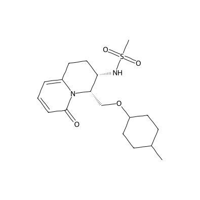 CC1CCC(OC[C@H]2[C@@H](NS(C)(=O)=O)CCc3cccc(=O)n32)CC1